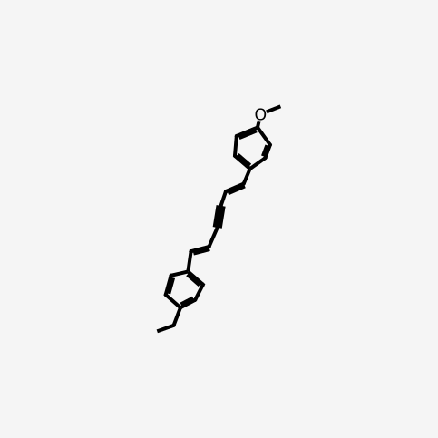 CCc1ccc(C=CC#CC=Cc2ccc(OC)cc2)cc1